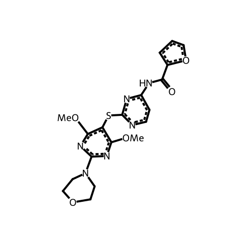 COc1nc(N2CCOCC2)nc(OC)c1Sc1nccc(NC(=O)c2ccco2)n1